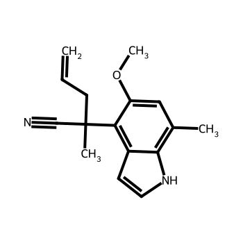 C=CCC(C)(C#N)c1c(OC)cc(C)c2[nH]ccc12